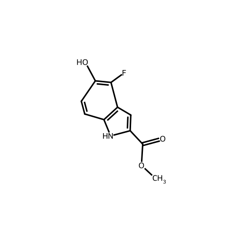 COC(=O)c1cc2c(F)c(O)ccc2[nH]1